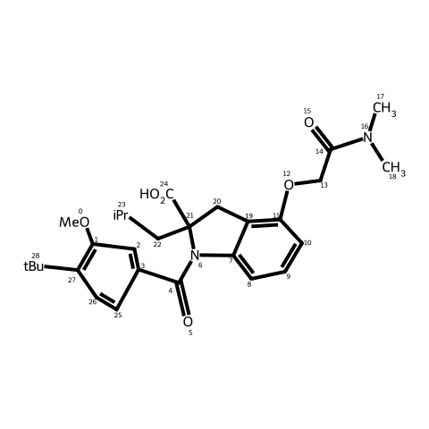 COc1cc(C(=O)N2c3cccc(OCC(=O)N(C)C)c3CC2(CC(C)C)C(=O)O)ccc1C(C)(C)C